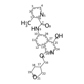 Cc1cccnc1C(=O)Nc1ccc2c(OCC3CCOCC3)ncc(O)c2c1